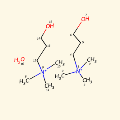 C[N+](C)(C)CCCO.C[N+](C)(C)CCCO.O